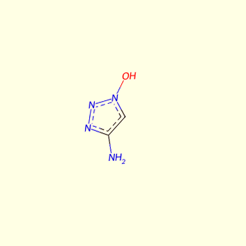 Nc1cn(O)nn1